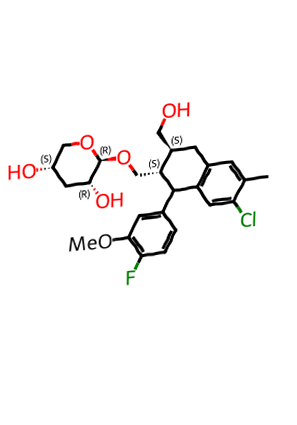 COc1cc(C2c3cc(Cl)c(C)cc3C[C@H](CO)[C@H]2CO[C@@H]2OC[C@@H](O)C[C@H]2O)ccc1F